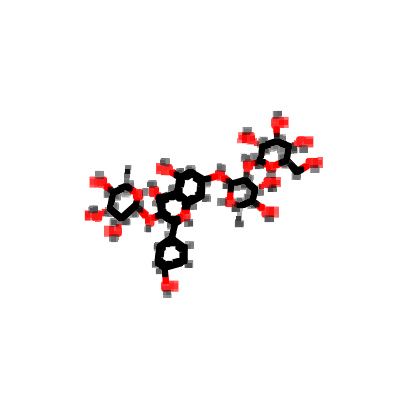 C[C@@H]1O[C@@H](Oc2c(-c3ccc(O)cc3)oc3cc(O[C@@H]4O[C@@H](C)[C@H](O)[C@@H](O)[C@H]4O[C@@H]4O[C@H](CO)[C@@H](O)[C@H](O)[C@H]4O)cc(O)c3c2=O)[C@H](O)[C@H](O)[C@H]1O